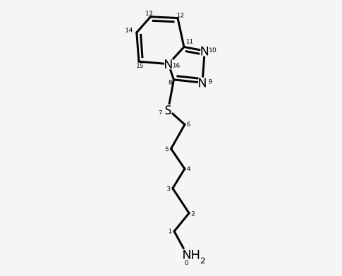 NCCCCCCSc1nnc2ccccn12